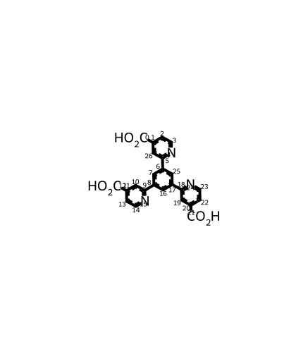 O=C(O)c1ccnc(-c2cc(-c3cc(C(=O)O)ccn3)cc(-c3cc(C(=O)O)ccn3)c2)c1